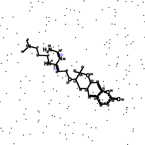 CN(C)CCCNC(=C/COC1CC2C=c3ccc(=O)oc3=CC2OC1(C)C)/N=C\N